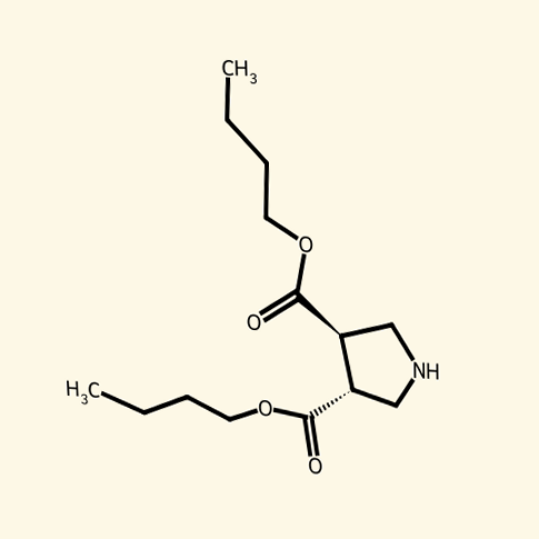 CCCCOC(=O)[C@H]1CNC[C@@H]1C(=O)OCCCC